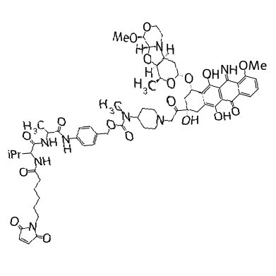 COc1cccc2c1C(=N)c1c(O)c3c(c(O)c1C2=O)C[C@@](O)(C(=O)CN1CCC(N(C)C(=O)OCc2ccc(NC(=O)C(C)NC(=O)C(NC(=O)CCCCCN4C(=O)C=CC4=O)C(C)C)cc2)CC1)C[C@@H]3O[C@H]1C[C@H]2[C@H](O[C@@H]3[C@@H](OC)OCCN32)[C@H](C)O1